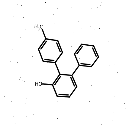 Cc1ccc(-c2c(O)cccc2-c2ccccc2)cc1